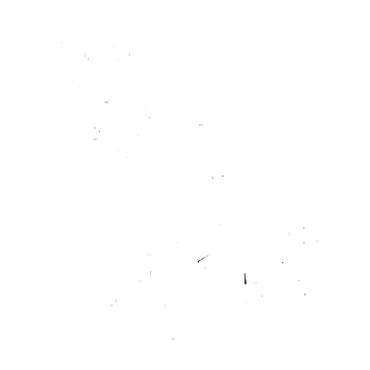 COc1c([C@H]2[C@H](C(=O)Nc3ccnc(C(=O)N(C)CCN(C)C)c3)O[C@@](C)(C(F)(F)F)[C@H]2C)ccc(F)c1F